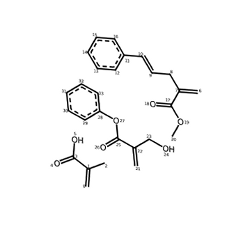 C=C(C)C(=O)O.C=C(CC=Cc1ccccc1)C(=O)OC.C=C(CO)C(=O)Oc1ccccc1